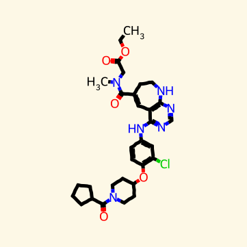 CCOC(=O)CN(C)C(=O)C1=Cc2c(ncnc2Nc2ccc(OC3CCN(C(=O)C4CCCC4)CC3)c(Cl)c2)NCC1